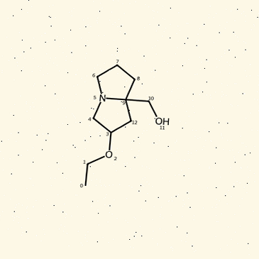 CCOC1CN2CCCC2(CO)C1